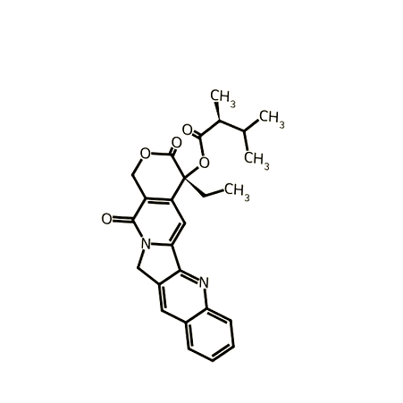 CC[C@]1(OC(=O)[C@@H](C)C(C)C)C(=O)OCc2c1cc1n(c2=O)Cc2cc3ccccc3nc2-1